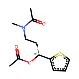 CC(=O)O[C@H](CCN(C)C(C)=O)c1cccs1